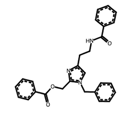 O=C(NCCc1cn(Cc2ccccc2)c(COC(=O)c2ccccc2)n1)c1ccccc1